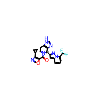 O=C(c1ocnc1C1CC1)N1CCc2[nH]cnc2[C@H]1c1cc2cccc(C(F)F)n2n1